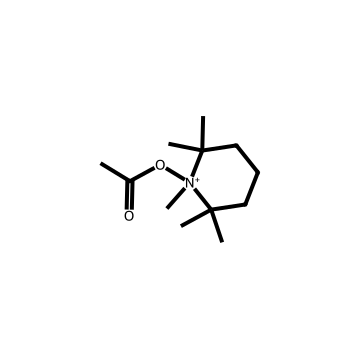 CC(=O)O[N+]1(C)C(C)(C)CCCC1(C)C